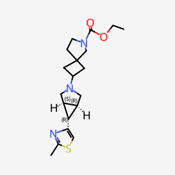 CCOC(=O)N1CCC2(CC(N3C[C@@H]4[C@H](C3)[C@H]4c3csc(C)n3)C2)C1